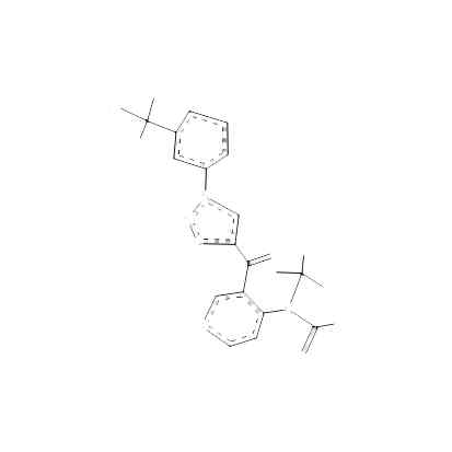 CC(C)(C)c1cccc(-n2cc(C(=O)c3cnccc3N(C(=O)O)C(C)(C)C)nn2)c1